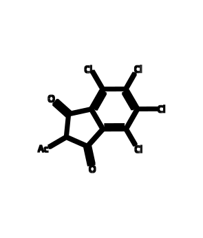 CC(=O)C1C(=O)c2c(Cl)c(Cl)c(Cl)c(Cl)c2C1=O